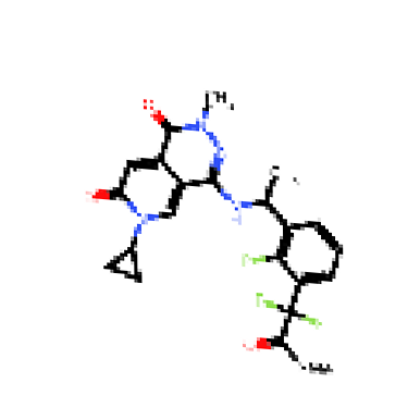 CNC(=O)C(F)(F)c1cccc(C(C)Nc2nn(C)c(=O)c3cc(=O)n(C4CC4)cc23)c1F